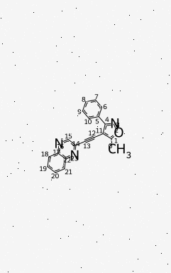 Cc1onc(-c2ccccc2)c1C#Cc1cnc2ccccc2n1